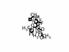 CC(Nc1cc(C(F)(F)F)c(-c2sc(C(=O)NCC(C)(C)O)nc2C(=O)N2CC(F)(F)C[C@@H]2C)cn1)C1CCC1